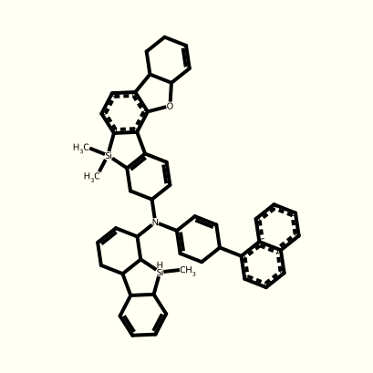 C[SiH]1C2C=CC=CC2C2CC=CC(N(C3=CCC(c4cccc5ccccc45)C=C3)C3C=CC4=C(C3)[Si](C)(C)c3ccc5c(c34)OC3C=CCCC53)C21